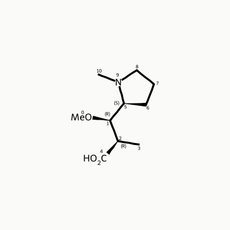 CO[C@H]([C@@H](C)C(=O)O)[C@@H]1CCCN1C